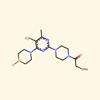 COCC(=O)N1CCN(c2nc(C)c([N+](=O)[O-])c(N3CC[S+]([O-])CC3)n2)CC1